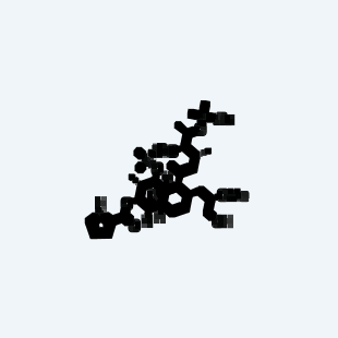 CO[C@H](CO)C[C@H]1C=C[C@H]2[C@H]3O[C@]1(/C(C)=C/[C@@H](C)[C@H](O)[C@@H](C)O[Si](C)(C)C(C)(C)C)[C@@H]2[C@H](O[Si](C)(C)C(C)(C)C)[C@@H](C)[C@H]3OC(=O)c1ccc[nH]1